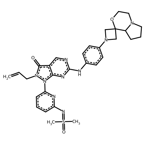 C=CCn1c(=O)c2cnc(Nc3ccc(N4CC5(C4)OCCN4CCCC45)cc3)nc2n1-c1cccc(N=S(C)(C)=O)n1